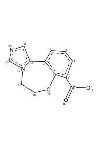 O=[N+]([O-])c1cccc2c1OCCn1cncc1-2